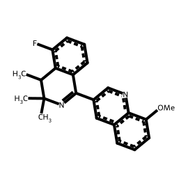 COc1cccc2cc(C3=NC(C)(C)C(C)c4c(F)cccc43)cnc12